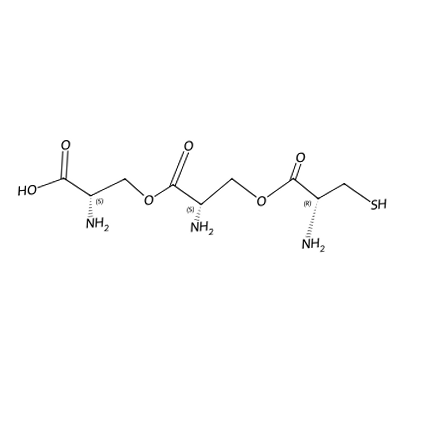 N[C@@H](COC(=O)[C@@H](N)COC(=O)[C@@H](N)CS)C(=O)O